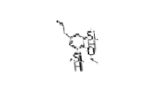 C=CCc1cc([SiH](C)C)c(OCC)c([SiH](C)C)c1